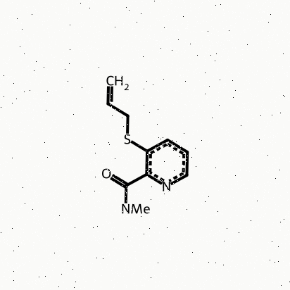 C=CCSc1cccnc1C(=O)NC